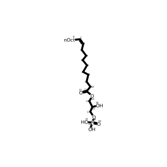 CCCCCCCC/C=C\CCCCCCCCC(=O)OCC(O)COP(=O)(O)O